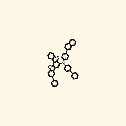 c1ccc(-c2ccc(N(c3ccc(-c4ccc5ccccc5c4)cc3)c3cc4c5cc(-c6ccccc6)ccc5oc4c4c3sc3ccccc34)cc2)cc1